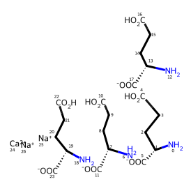 N[C@@H](CCC(=O)O)C(=O)[O-].N[C@@H](CCC(=O)O)C(=O)[O-].N[C@@H](CCC(=O)O)C(=O)[O-].N[C@@H](CCC(=O)O)C(=O)[O-].[Ca+2].[Na+].[Na+]